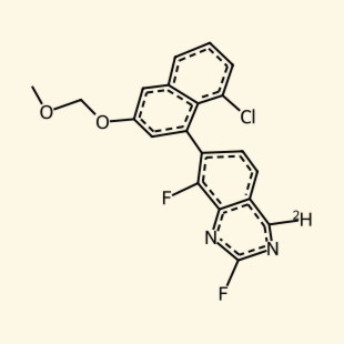 [2H]c1nc(F)nc2c(F)c(-c3cc(OCOC)cc4cccc(Cl)c34)ccc12